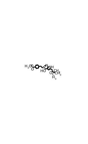 COC(=O)c1ccc(CCN2C=Nc3[nH]c(CC(=O)C(C)(C)C)cc3C2O)cc1